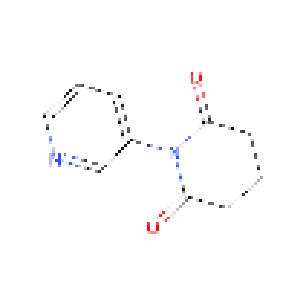 O=C1CCCC(=O)N1c1cccnc1